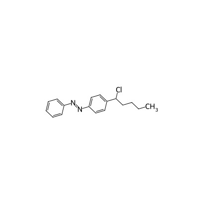 CCCCC(Cl)c1ccc(/N=N/c2ccccc2)cc1